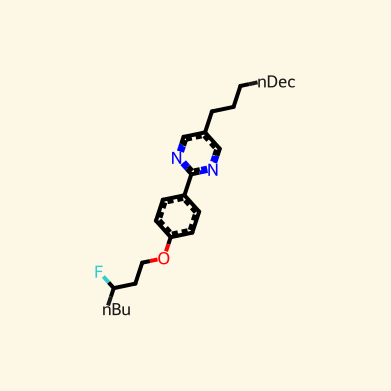 CCCCCCCCCCCCCc1cnc(-c2ccc(OCCC(F)CCCC)cc2)nc1